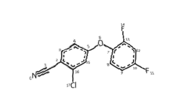 N#Cc1ccc(Oc2ccc(F)cc2F)cc1Cl